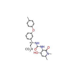 Cc1ccc(Oc2cccc([C@H](CC(=O)O)NC(=O)Nc3c(O)cc(C)n(C)c3=O)c2)cc1